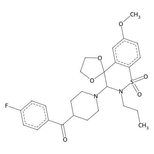 CCCN1C(N2CCC(C(=O)c3ccc(F)cc3)CC2)C2(OCCO2)c2cc(OC)ccc2S1(=O)=O